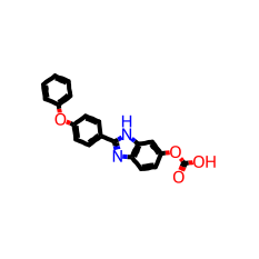 O=C(O)Oc1ccc2nc(-c3ccc(Oc4ccccc4)cc3)[nH]c2c1